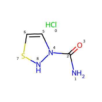 Cl.NC(=O)N1C=CSN1